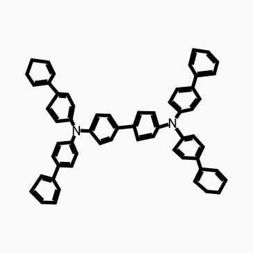 C1=CC(c2ccc(N(c3ccc(-c4ccccc4)cc3)c3ccc(-c4ccc(N(c5ccc(C6=CCCC=C6)cc5)c5ccc(-c6ccccc6)cc5)cc4)cc3)cc2)=CCC1